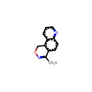 O=C(O)C1=NOCc2c1ccc1ncccc21